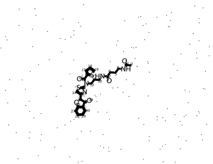 CC(=O)NCCCC(=O)NCCCN(C(=O)c1cccs1)c1nc(C2Oc3ccccc3C2=O)cs1